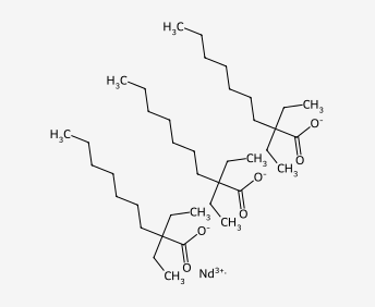 CCCCCCCC(CC)(CC)C(=O)[O-].CCCCCCCC(CC)(CC)C(=O)[O-].CCCCCCCC(CC)(CC)C(=O)[O-].[Nd+3]